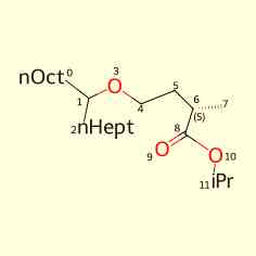 CCCCCCCCC(CCCCCCC)OCC[C@H](C)C(=O)OC(C)C